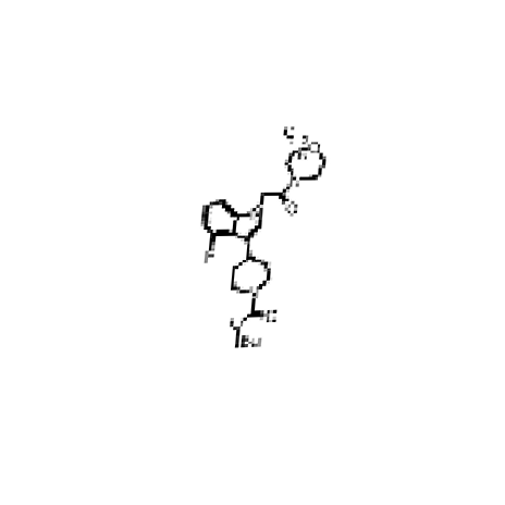 CC(C)(C)OC(=O)N1CCC(c2cn(CC(=O)N3CCO[C@@H](C(F)(F)F)C3)c3cccc(F)c23)CC1